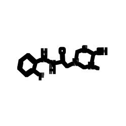 CN1CN(CC(=O)NNc2ccccc2F)CSC1S